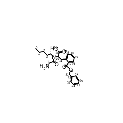 CCCCCN(C(=O)CN)C(Cc1ccccc1C(=O)OCc1ccccc1)C(=O)O